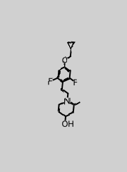 CC1CC(O)CCN1CCc1c(F)cc(OCC2CC2)cc1F